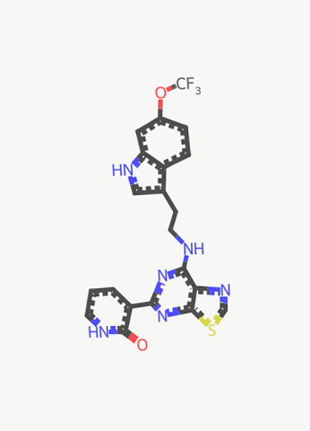 O=c1[nH]cccc1-c1nc(NCCc2c[nH]c3cc(OC(F)(F)F)ccc23)c2ncsc2n1